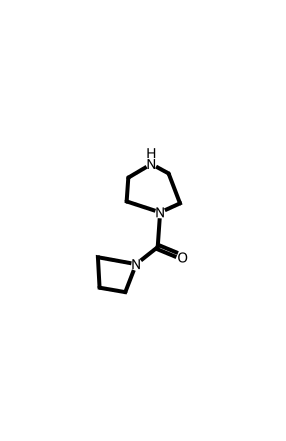 O=C(N1CCC1)N1CCNCC1